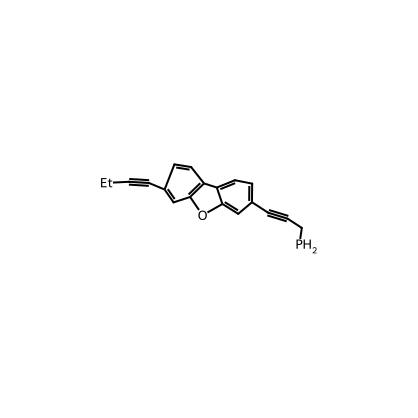 CCC#Cc1ccc2c(c1)oc1cc(C#CCP)ccc12